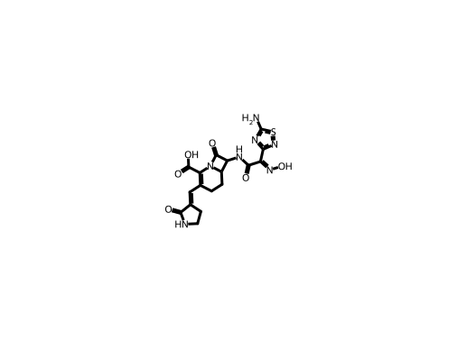 Nc1nc(/C(=N\O)C(=O)NC2C(=O)N3C(C(=O)O)=C(/C=C4\CCNC4=O)CCC23)ns1